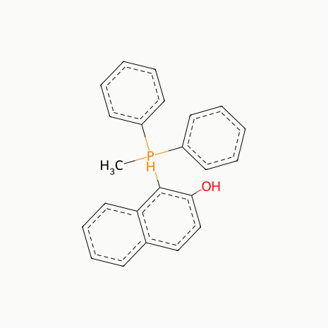 C[PH](c1ccccc1)(c1ccccc1)c1c(O)ccc2ccccc12